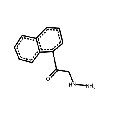 NNCC(=O)c1cccc2ccccc12